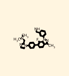 Cc1nn(-c2cccc(CN)c2)c2c(F)c(-c3ccc(-n4ccnc4CN(C)C)cc3)ccc12